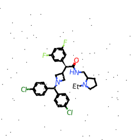 CCN1CCCC1CNC(=O)[C@H](c1cc(F)cc(F)c1)C1CN(C(c2ccc(Cl)cc2)c2ccc(Cl)cc2)C1